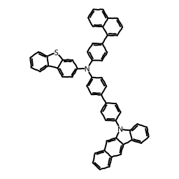 c1ccc2cc3c(cc2c1)c1ccccc1n3-c1ccc(-c2ccc(N(c3ccc(-c4cccc5ccccc45)cc3)c3ccc4c(c3)sc3ccccc34)cc2)cc1